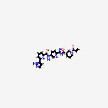 C=CC(=O)N1CCC[C@H](c2nc(-c3ccc(NC(=O)c4cccc(-c5ccn[nH]5)n4)cn3)no2)C1